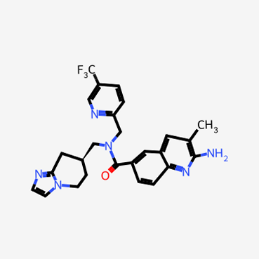 Cc1cc2cc(C(=O)N(Cc3ccc(C(F)(F)F)cn3)C[C@H]3CCn4ccnc4C3)ccc2nc1N